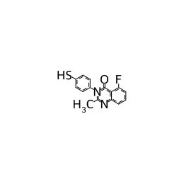 Cc1nc2cccc(F)c2c(=O)n1-c1ccc(S)cc1